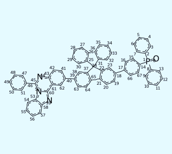 O=P(c1ccccc1)(c1ccccc1)c1ccc(-c2ccc3c(c2)C(c2ccccc2)(c2ccccc2)c2cc(-c4ccc5nc(-c6ccccc6)n6c7ccccc7nc6c5c4)ccc2-3)cc1